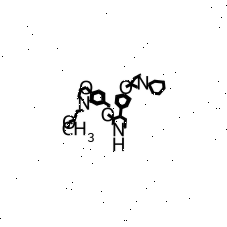 COCCCN1CCOc2ccc(COC3CNCCC3c3ccc(OC4CCN(C5CCCCC5)C4)cc3)cc21